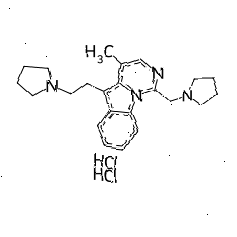 Cc1cnc(CN2CCCC2)n2c1c(CCN1CCCC1)c1ccccc12.Cl.Cl